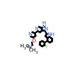 CN(C)CCOc1cncc(-c2cc3c(-c4cc5c(-c6ccccc6F)cccc5[nH]4)n[nH]c3cn2)c1